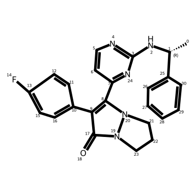 C[C@@H](Nc1nccc(-c2c(-c3ccc(F)cc3)c(=O)n3n2CCC3)n1)c1ccccc1